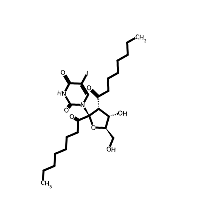 CCCCCCCC(=O)[C@@H]1[C@H](O)[C@@H](CO)O[C@@]1(C(=O)CCCCCCC)n1cc(I)c(=O)[nH]c1=O